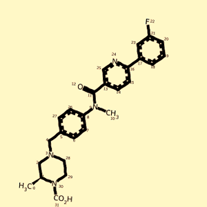 C[C@H]1CN(Cc2ccc(N(C)C(=O)c3ccc(-c4cccc(F)c4)nc3)cc2)CCN1C(=O)O